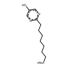 CCCCCCCCCCCCCCCCc1ncc(O)cn1